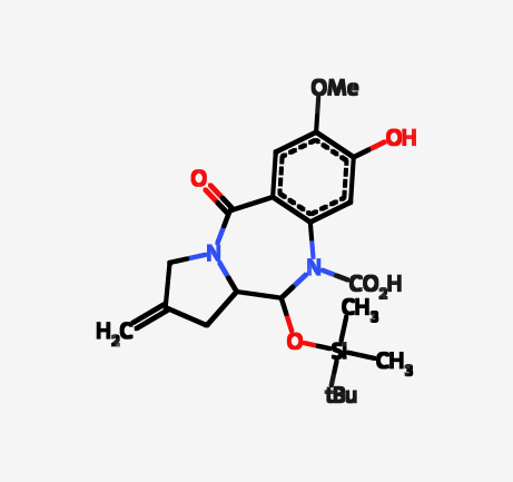 C=C1CC2C(O[Si](C)(C)C(C)(C)C)N(C(=O)O)c3cc(O)c(OC)cc3C(=O)N2C1